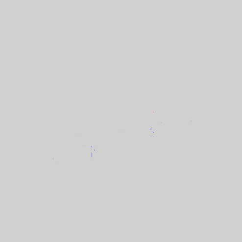 CC(C)CCOCCC(=O)NCCOCCNC(=O)CCOCCC(C)C